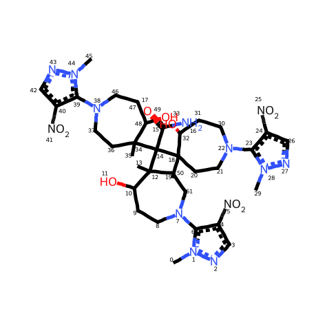 Cn1ncc([N+](=O)[O-])c1N1CCC(O)C(C)(C(C(N)=O)(C2(C)CCN(c3c([N+](=O)[O-])cnn3C)CCC2O)C2(C)CCN(c3c([N+](=O)[O-])cnn3C)CCC2O)CC1